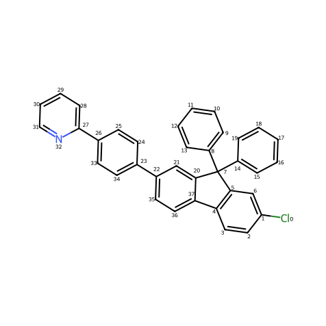 Clc1ccc2c(c1)C(c1ccccc1)(c1ccccc1)c1cc(-c3ccc(-c4ccccn4)cc3)ccc1-2